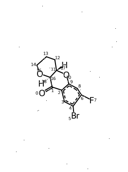 O=C1c2cc(Br)c(F)cc2O[C@H]2CCCO[C@H]12